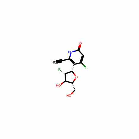 C#Cc1[nH]c(=O)cc(F)c1[C@@H]1O[C@H](CO)C(O)[C@@H]1F